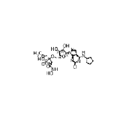 COC[C@@](CC(=O)NO)(OC[C@H]1O[C@H](n2ncc3c(NC4CCCC4)nc(Cl)nc32)[C@H](O)[C@@H]1O)P(=O)(O)O